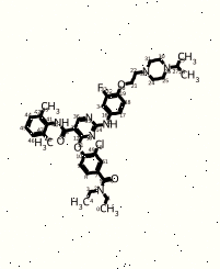 CCN(CC)C(=O)c1ccc(Oc2nc(Nc3ccc(OCCN4CCN(C(C)C)CC4)c(F)c3)ncc2C(=O)Nc2c(C)cccc2C)c(Cl)c1